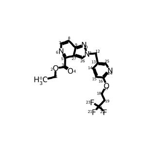 CCOC(=O)c1nccc2nn(Cc3ccc(OCCC(F)(F)F)nc3)cc12